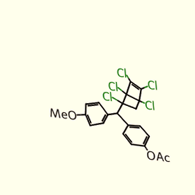 COc1ccc(C(c2ccc(OC(C)=O)cc2)C2(Cl)CC3(Cl)C(Cl)=C(Cl)C32Cl)cc1